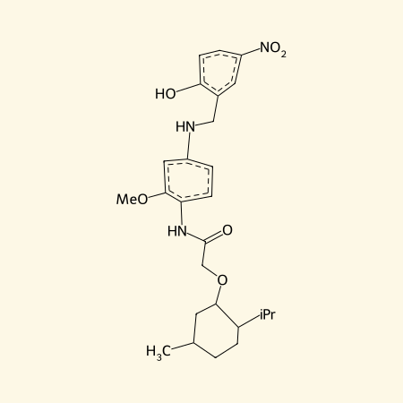 COc1cc(NCc2cc([N+](=O)[O-])ccc2O)ccc1NC(=O)COC1CC(C)CCC1C(C)C